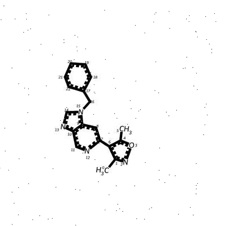 Cc1noc(C)c1-c1cc2c(cn1)ncn2Cc1ccccc1